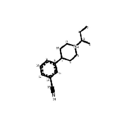 CCC(C)N1CCC(c2cccc(C#N)c2)CC1